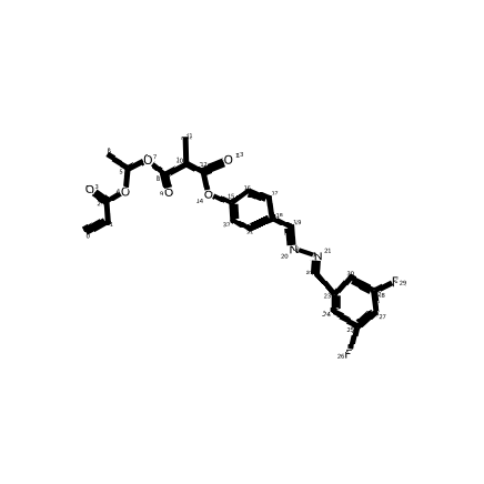 C=CC(=O)OC(C)OC(=O)C(C)C(=O)Oc1ccc(/C=N/N=C/c2cc(F)cc(F)c2)cc1